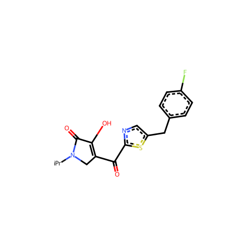 CC(C)N1CC(C(=O)c2ncc(Cc3ccc(F)cc3)s2)=C(O)C1=O